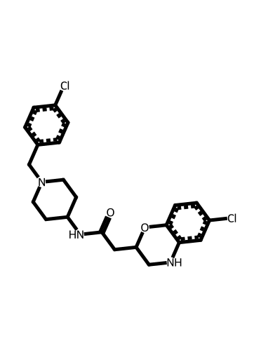 O=C(CC1CNc2cc(Cl)ccc2O1)NC1CCN(Cc2ccc(Cl)cc2)CC1